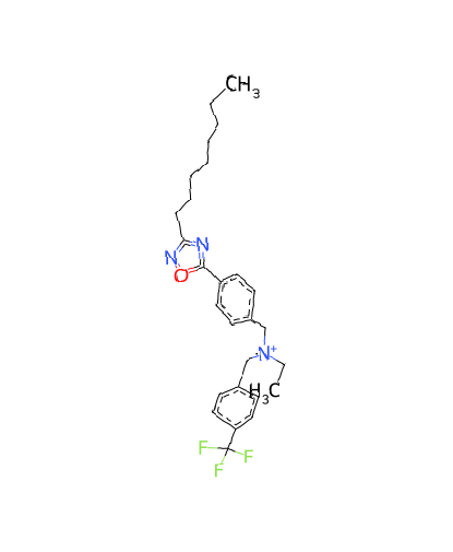 CCCCCCCCc1noc(-c2ccc(C[N+](CC)Cc3ccc(C(F)(F)F)cc3)cc2)n1